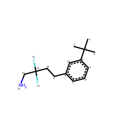 CC(C)(C)c1cccc(CCC(F)(F)CN)c1